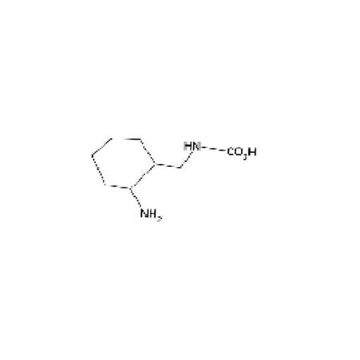 NC1CCCCC1CNC(=O)O